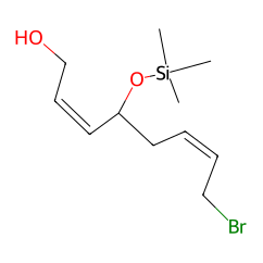 C[Si](C)(C)OC(/C=C\CO)C/C=C\CBr